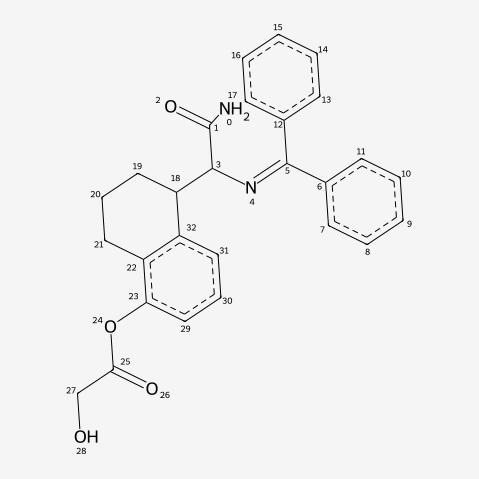 NC(=O)C(N=C(c1ccccc1)c1ccccc1)C1CCCc2c(OC(=O)CO)cccc21